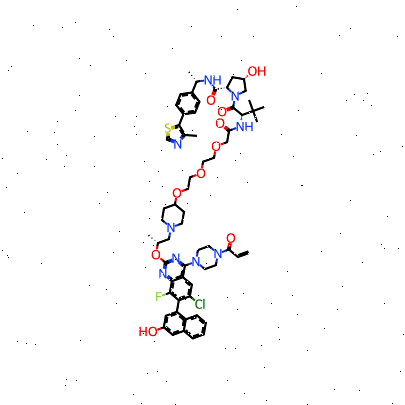 C=CC(=O)N1CCN(c2nc(O[C@H](C)CN3CCC(OCCOCCOCC(=O)N[C@H](C(=O)N4C[C@@H](O)C[C@H]4C(=O)N[C@@H](C)c4ccc(-c5scnc5C)cc4)C(C)(C)C)CC3)nc3c(F)c(-c4cc(O)cc5ccccc45)c(Cl)cc23)CC1